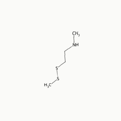 CNCCSSC